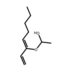 C=CC(=CCCCC)OC(C)O